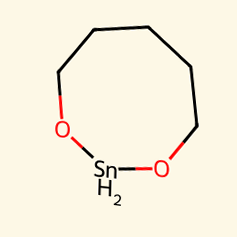 C1CC[O][SnH2][O]CC1